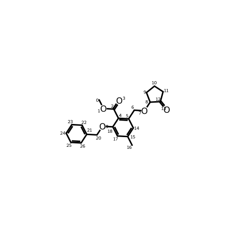 COC(=O)c1c(COC2CCCC2=O)cc(C)cc1OCc1ccccc1